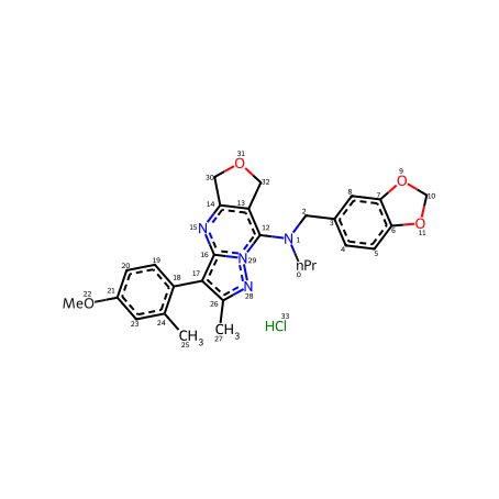 CCCN(Cc1ccc2c(c1)OCO2)c1c2c(nc3c(-c4ccc(OC)cc4C)c(C)nn13)COC2.Cl